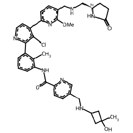 COc1nc(-c2ccnc(-c3cccc(NC(=O)c4ccc(CNC5CC(C)(O)C5)cn4)c3C)c2Cl)ccc1CNC[C@H]1CCC(=O)N1